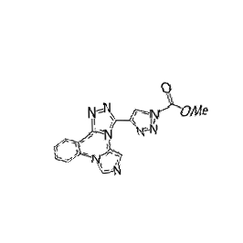 COC(=O)n1cc(-c2nnc3c4ccccc4n4cncc4n23)nn1